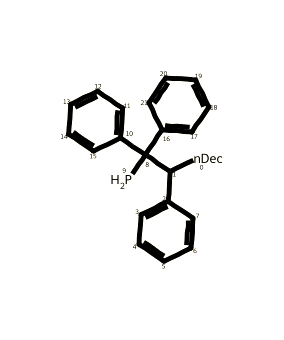 CCCCCCCCCCC(c1ccccc1)C(P)(c1ccccc1)c1ccccc1